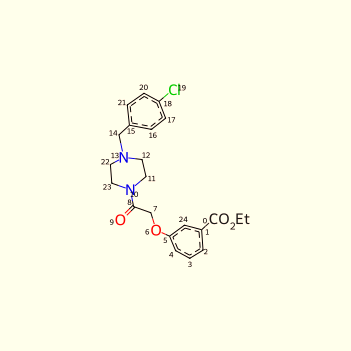 CCOC(=O)c1cccc(OCC(=O)N2CCN(Cc3ccc(Cl)cc3)CC2)c1